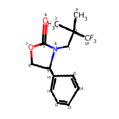 CC(C)(CN1C(=O)OCC1c1ccccc1)C(F)(F)F